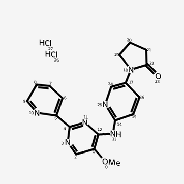 COc1cnc(-c2ccccn2)nc1Nc1ccc(N2CCCC2=O)cn1.Cl.Cl